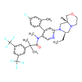 CC[C@@H]1CN2CCOC[C@H]2CN1c1cc(-c2ccc(F)cc2C)c(N(C)C(=O)C(C)(C)c2cc(C(F)(F)F)cc(C(F)(F)F)c2)cn1